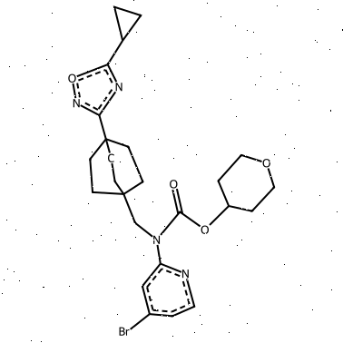 O=C(OC1CCOCC1)N(CC12CCC(c3noc(C4CC4)n3)(CC1)CC2)c1cc(Br)ccn1